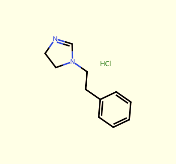 C1=NCCN1CCc1ccccc1.Cl